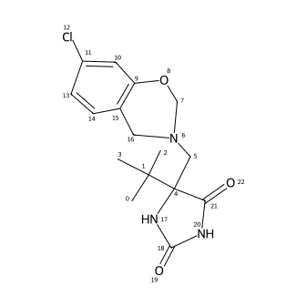 CC(C)(C)C1(CN2COc3cc(Cl)ccc3C2)NC(=O)NC1=O